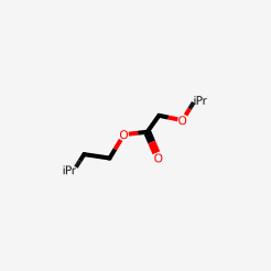 CC(C)CCOC(=O)COC(C)C